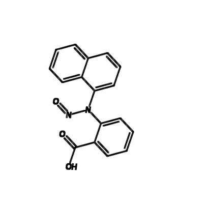 O=NN(c1ccccc1C(=O)O)c1cccc2ccccc12